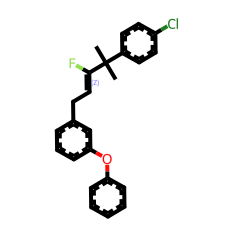 CC(C)(/C(F)=C/Cc1cccc(Oc2ccccc2)c1)c1ccc(Cl)cc1